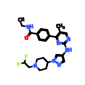 Cc1cnc(Nc2cnn(C3CCN(CC(F)F)CC3)c2)nc1-c1ccc(C(=O)NCC#N)cc1